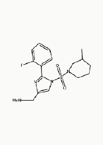 CNCc1cn(S(=O)(=O)N2CCCC(C)C2)c(-c2ccccc2F)n1